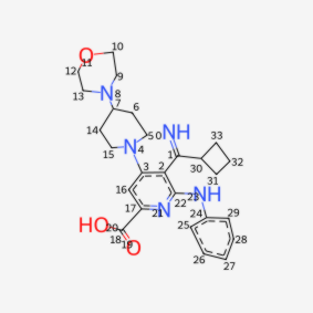 N=C(c1c(N2CCC(N3CCOCC3)CC2)cc(C(=O)O)nc1Nc1ccccc1)C1CCC1